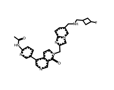 CC(=O)Nc1ccc(-c2cncc3c(=O)n(Cc4cn5cc(CNCC6CC(F)C6)ccc5n4)ccc23)cn1